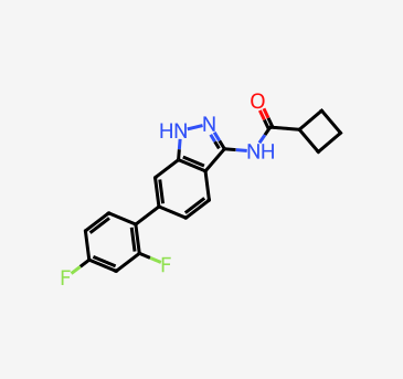 O=C(Nc1n[nH]c2cc(-c3ccc(F)cc3F)ccc12)C1CCC1